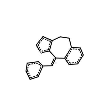 C(=C1\c2ccccc2CCc2ccsc21)/c1ccccc1